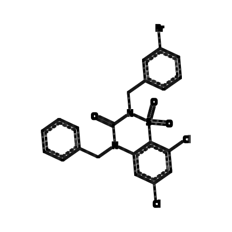 O=C1N(Cc2ccccc2)c2cc(Cl)cc(Cl)c2S(=O)(=O)N1Cc1cccc(Br)c1